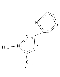 Cc1cc(-c2ccccn2)nn1C